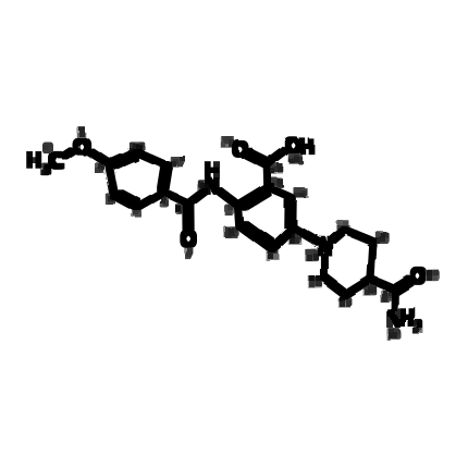 COc1ccc(C(=O)Nc2ccc(N3CCC(C(N)=O)CC3)cc2C(=O)O)cc1